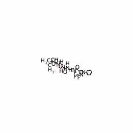 CC(C)(C)OC(=O)N1C[C@@H]2C[C@H]1CN2C(=O)NCCNC(=O)c1cn(-c2ccccc2)nc1C(F)(F)F